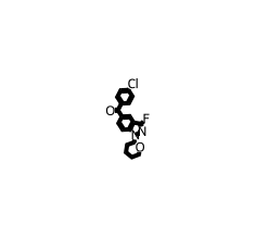 O=C(c1ccc(Cl)cc1)c1ccc2c(c1)c(F)nn2C1CCCCO1